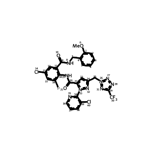 COc1ccccc1CNC(=O)c1cc(Cl)cc(C)c1NC(=O)c1cc(Cn2nnc(C(F)(F)F)n2)nn1-c1ncccc1Cl